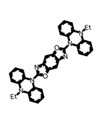 CCN1c2ccccc2N(c2nc3cc4oc(N5c6ccccc6N(CC)c6ccccc65)nc4cc3o2)c2ccccc21